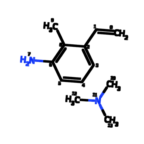 C=Cc1cccc(N)c1C.CN(C)C